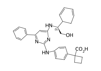 O=C(O)C1(c2ccc(Nc3nc(N[C@H](CO)C4C=CC=CC4)cc(-c4ccccc4)n3)cc2)CCC1